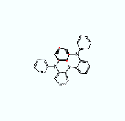 c1ccc(N(c2ccccc2)c2ccccc2Sc2ccccc2N(c2ccccc2)c2ccccc2)cc1